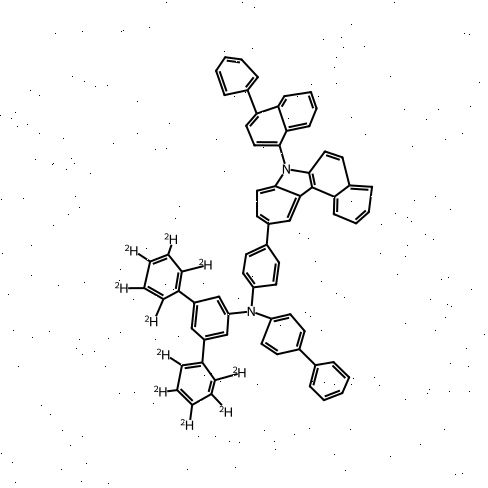 [2H]c1c([2H])c([2H])c(-c2cc(-c3c([2H])c([2H])c([2H])c([2H])c3[2H])cc(N(c3ccc(-c4ccccc4)cc3)c3ccc(-c4ccc5c(c4)c4c6ccccc6ccc4n5-c4ccc(-c5ccccc5)c5ccccc45)cc3)c2)c([2H])c1[2H]